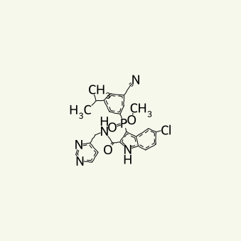 COP(=O)(c1cc(C#N)cc(C(C)C)c1)c1c(C(=O)NCc2ccncn2)[nH]c2ccc(Cl)cc12